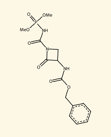 COP(=O)(NC(=O)N1CC(NC(=O)OCc2ccccc2)C1=O)OC